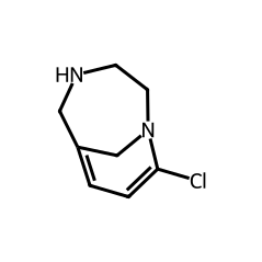 ClC1=CC=C2CNCCN1C2